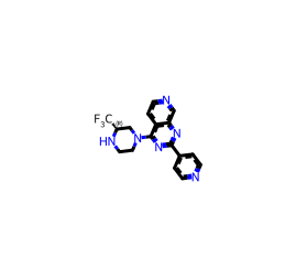 FC(F)(F)[C@H]1CN(c2nc(-c3ccncc3)nc3cnccc23)CCN1